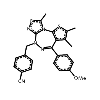 COc1ccc(C2=NN(Cc3ccc(C#N)cc3)c3nnc(C)n3-c3sc(C)c(C)c32)cc1